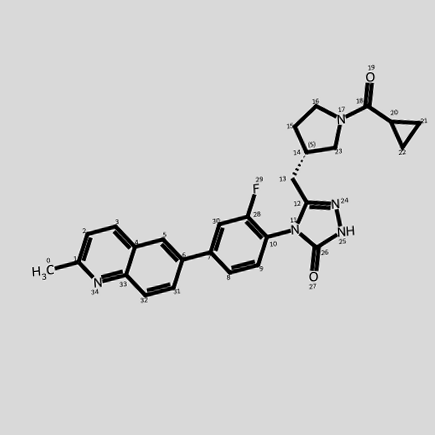 Cc1ccc2cc(-c3ccc(-n4c(C[C@@H]5CCN(C(=O)C6CC6)C5)n[nH]c4=O)c(F)c3)ccc2n1